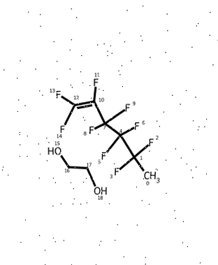 CC(F)(F)C(F)(F)C(F)(F)C(F)=C(F)F.OCCO